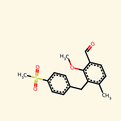 COc1c(C=O)ccc(C)c1Cc1ccc(S(C)(=O)=O)cc1